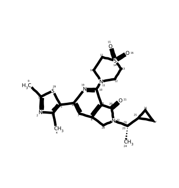 Cc1nc(C)c(-c2cc3c(c(N4CCS(=O)(=O)CC4)n2)C(=O)N([C@@H](C)C2CC2)C3)s1